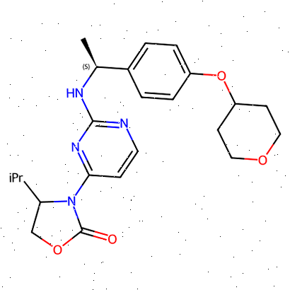 CC(C)C1COC(=O)N1c1ccnc(N[C@@H](C)c2ccc(OC3CCOCC3)cc2)n1